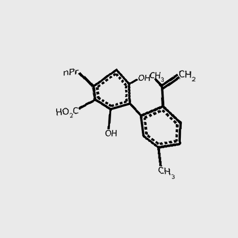 C=C(C)c1ccc(C)cc1-c1c(O)cc(CCC)c(C(=O)O)c1O